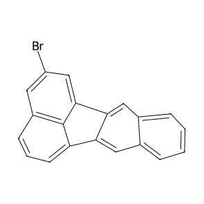 Brc1cc2c3c(cccc3c1)-c1cc3ccccc3cc1-2